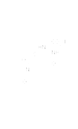 O=C1NC(C(=O)O)Nc2sc3c(c21)CCCN(CC1CCCCO1)C3=O